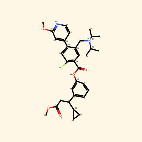 COC(=O)CC(c1cccc(OC(=O)c2cc(CN(C(C)C)C(C)C)c(-c3ccnc(OC)c3)cc2F)c1)C1CC1